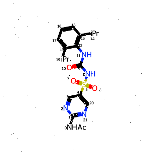 CC(=O)Nc1ncc(S(=O)(=O)NC(=O)Nc2c(C(C)C)cccc2C(C)C)cn1